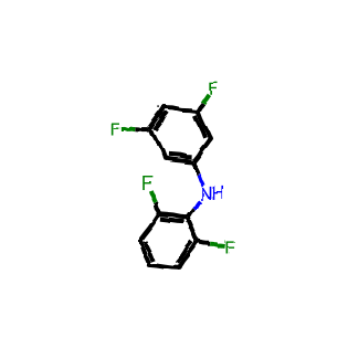 Fc1[c]c(F)cc(Nc2c(F)cccc2F)c1